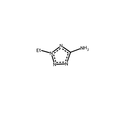 CCn1nnc(N)n1